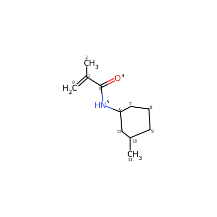 C=C(C)C(=O)NC1CCCC(C)C1